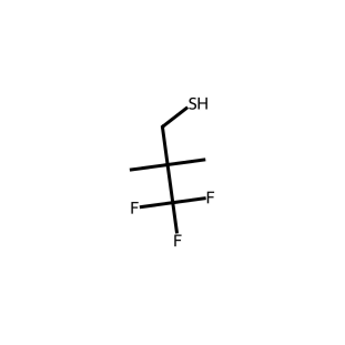 CC(C)(CS)C(F)(F)F